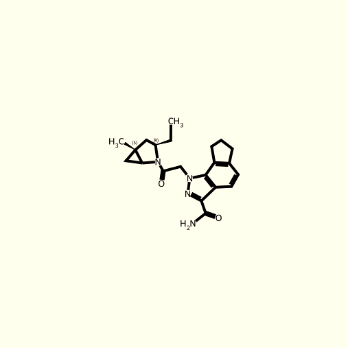 CC[C@@H]1C[C@@]2(C)CC2N1C(=O)Cn1nc(C(N)=O)c2ccc3c(c21)CCC3